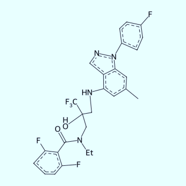 CCN(CC(O)(CNc1cc(C)cc2c1cnn2-c1ccc(F)cc1)C(F)(F)F)C(=O)c1c(F)cccc1F